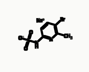 Cc1nc(NS(=O)(=O)[O-])ccc1Br.[Na+]